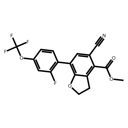 COC(=O)c1c(C#N)cc(-c2ccc(OC(F)(F)F)cc2F)c2c1CCO2